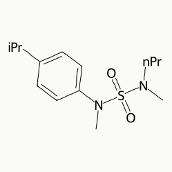 CCCN(C)S(=O)(=O)N(C)c1ccc(C(C)C)cc1